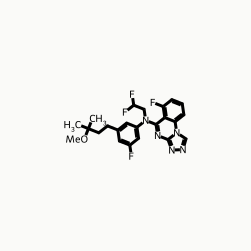 COC(C)(C)CCc1cc(F)cc(N(CC(F)F)c2nc3nncn3c3cccc(F)c23)c1